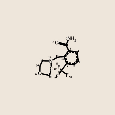 NC(=O)c1cccc(C(F)(F)F)c1CN1CCOCC1